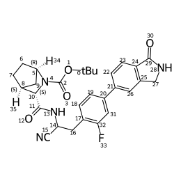 CC(C)(C)OC(=O)N1[C@@H]2CC[C@@H](C2)[C@H]1C(=O)NC(C#N)Cc1ccc(-c2ccc3c(c2)CNC3=O)cc1F